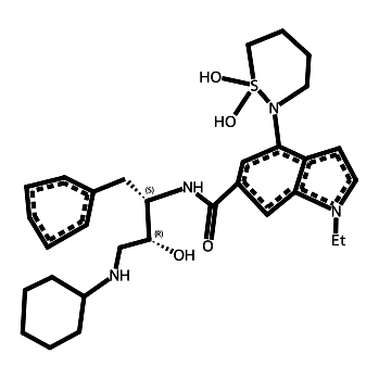 CCn1ccc2c(N3CCCCS3(O)O)cc(C(=O)N[C@@H](Cc3ccccc3)[C@H](O)CNC3CCCCC3)cc21